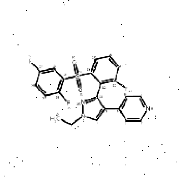 CCn1cc(-c2ccncc2)c(-c2c(F)[c]ccc2S(=O)(=O)c2cc(F)ccc2F)n1